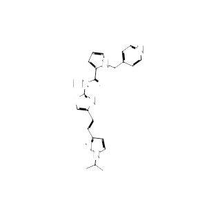 CC(C)n1ccc(C=Cc2csc(NC(=O)c3cccn3Cc3ccncc3)n2)n1